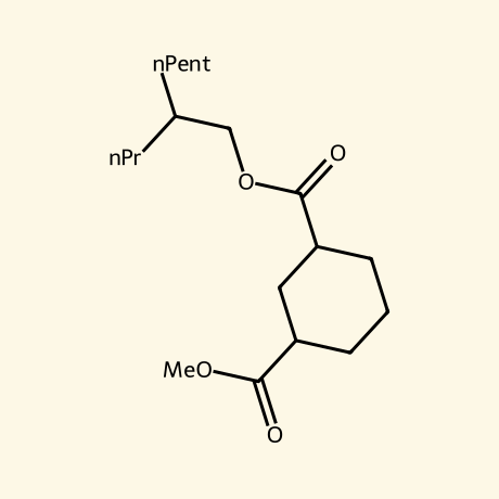 CCCCCC(CCC)COC(=O)C1CCCC(C(=O)OC)C1